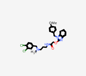 COc1ccc(Cn2c(OCC(=O)NCCCN(C)Cc3ccc(Cl)c(Cl)c3)nc3ccccc32)cc1